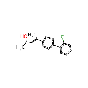 CC(=CC(C)O)c1ccc(-c2ccccc2Cl)cc1